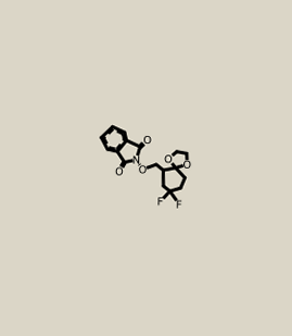 O=C1c2ccccc2C(=O)N1OCC1CC(F)(F)CCC12OCCO2